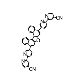 N#Cc1ccnc(-c2ccc(-c3cc4oc5cc(-c6ccc(-c7cc(C#N)ccn7)nc6)c6ccccc6c5c4c4ccccc34)cn2)c1